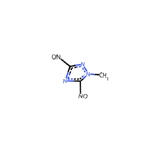 Cn1nc(N=O)nc1N=O